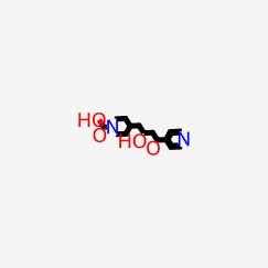 O=C(CC(O)CC1CCN(C(=O)O)CC1)c1ccncc1